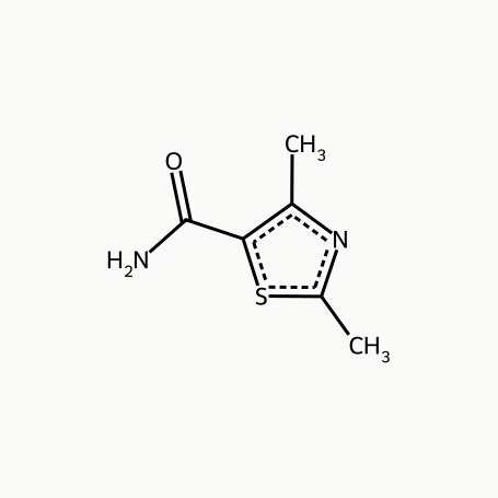 Cc1nc(C)c(C(N)=O)s1